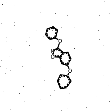 c1ccc(Oc2ccc3c(Oc4ccccc4)noc3c2)cc1